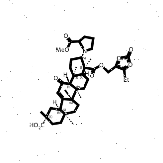 CCc1oc(=O)oc1COC(=O)[C@]1(C)[C@@H](N2CCCC2C(=O)OC)CC[C@@]2(C)[C@H]1CC[C@]1(C)[C@@H]2C(=O)C=C2[C@@H]3C[C@@](C)(C(=O)O)CC[C@]3(C)CC[C@]21C